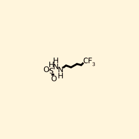 O=[SH](=O)NNCCCCC(F)(F)F